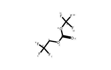 O=C(OCC(F)(F)F)OC(F)(F)F